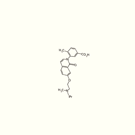 Cc1ccc(C(=O)O)cc1-n1ccc2ccc(OCCN(C)C(C)C)cc2c1=O